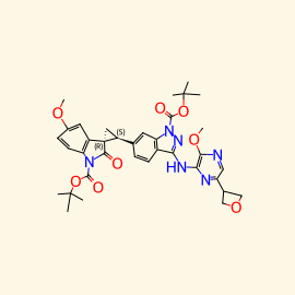 COc1ccc2c(c1)[C@]1(C[C@H]1c1ccc3c(Nc4nc(C5COC5)cnc4OC)nn(C(=O)OC(C)(C)C)c3c1)C(=O)N2C(=O)OC(C)(C)C